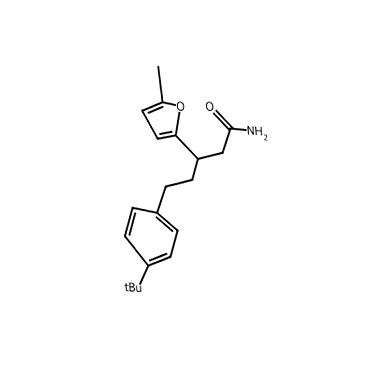 Cc1ccc(C(CCc2ccc(C(C)(C)C)cc2)CC(N)=O)o1